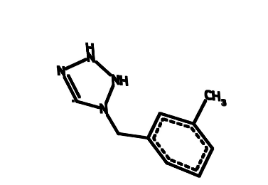 Cc1cccc(CN2[C]=NNN2)c1